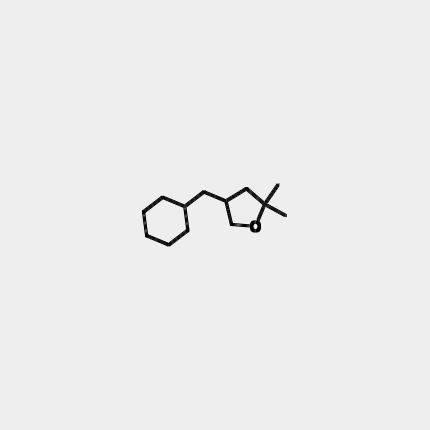 CC1(C)CC(CC2CCCCC2)CO1